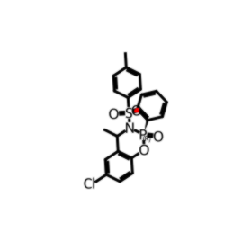 Cc1ccc(S(=O)(=O)N2C(C)c3cc(Cl)ccc3O[P@]2(=O)c2ccccc2)cc1